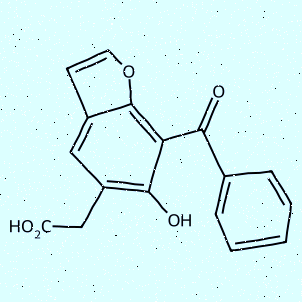 O=C(O)Cc1cc2ccoc2c(C(=O)c2ccccc2)c1O